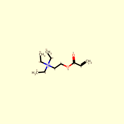 C=CC(=O)OCC[N+](CC)(CC)CC